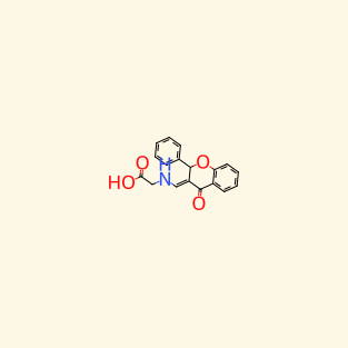 O=C(O)CNC=C1C(=O)c2ccccc2OC1c1ccccc1